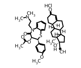 C#C[C@]1(O)CC[C@H]2[C@@H]3CCC4=CC(=O)CC[C@@H]4[C@H]3CC[C@@]21C.COc1ccc([C@@H]2Sc3ccccc3N(CCN(C)C)C(=O)[C@@H]2OC(C)=O)cc1.Cl